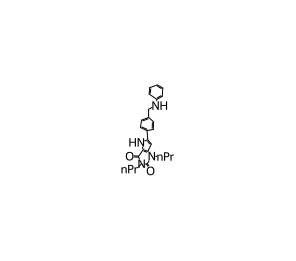 CCCn1c(=O)c2[nH]c(-c3ccc(CNc4ccccc4)cc3)cc2n(CCC)c1=O